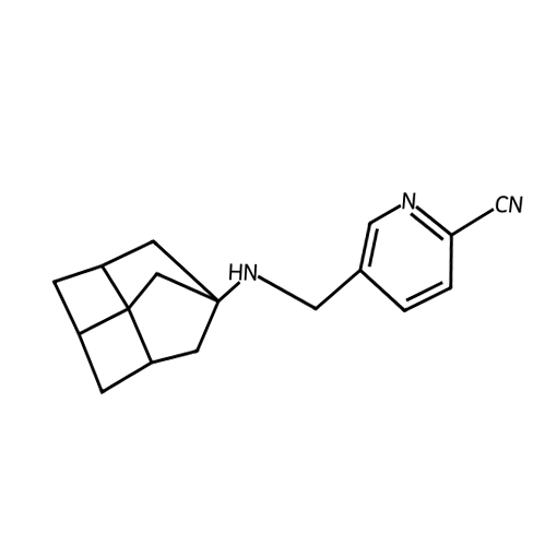 N#Cc1ccc(CNC23CC4CC5CC(C2)C54C3)cn1